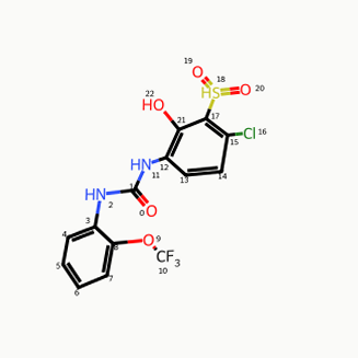 O=C(Nc1ccccc1OC(F)(F)F)Nc1ccc(Cl)c([SH](=O)=O)c1O